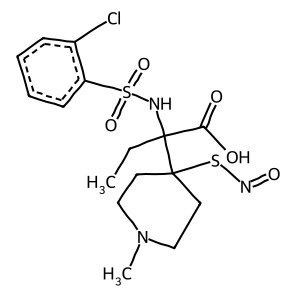 CCC(NS(=O)(=O)c1ccccc1Cl)(C(=O)O)C1(SN=O)CCN(C)CC1